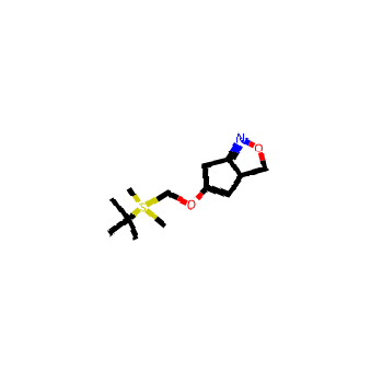 CC(C)(C)S(C)(C)COC1CC2=NOCC2C1